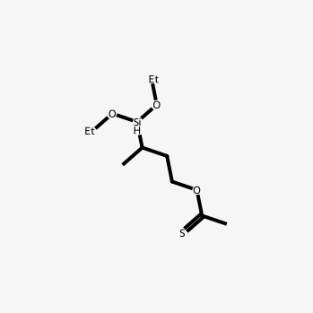 CCO[SiH](OCC)C(C)CCOC(C)=S